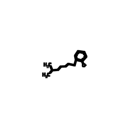 CC(C)CCCCCc1ccccc1[O]